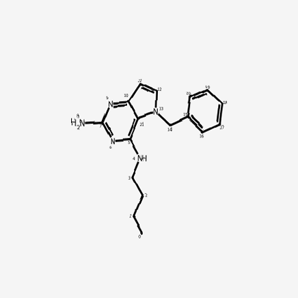 CCCCNc1nc(N)nc2ccn(Cc3ccccc3)c12